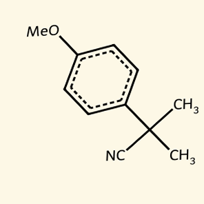 COc1ccc(C(C)(C)C#N)cc1